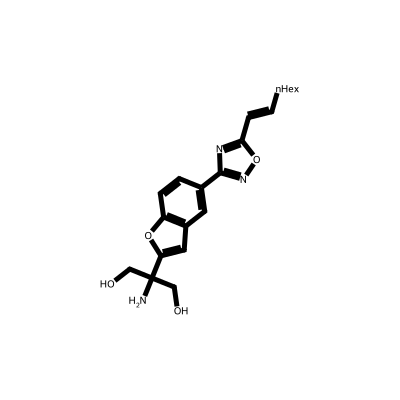 CCCCCCC=Cc1nc(-c2ccc3oc(C(N)(CO)CO)cc3c2)no1